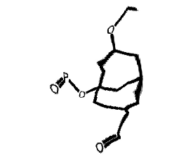 COC1CC2CC(C=O)CC(OP=O)(C2)C1